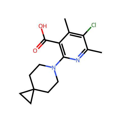 Cc1nc(N2CCC3(CC2)CC3)c(C(=O)O)c(C)c1Cl